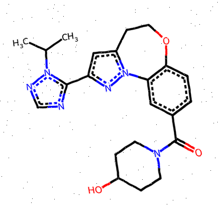 CC(C)n1ncnc1-c1cc2n(n1)-c1cc(C(=O)N3CCC(O)CC3)ccc1OCC2